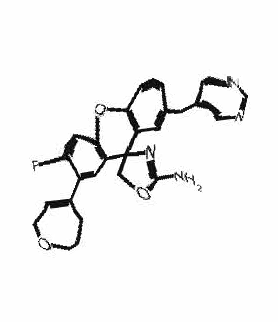 NC1=NC2(CO1)c1cc(-c3cncnc3)ccc1Oc1cc(F)c(C3=CCOCC3)cc12